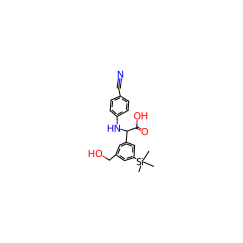 C[Si](C)(C)c1cc(CO)cc(C(Nc2ccc(C#N)cc2)C(=O)O)c1